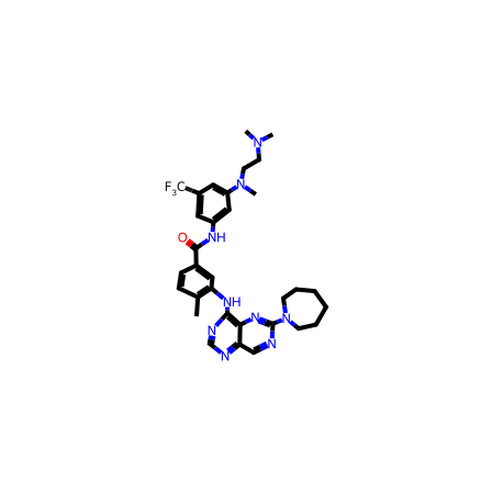 Cc1ccc(C(=O)Nc2cc(N(C)CCN(C)C)cc(C(F)(F)F)c2)cc1Nc1ncnc2cnc(N3CCCCCC3)nc12